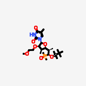 COCCO[C@@H]1[C@H](C)[C@@H]([C@H](C)[C@@H](O[Si](C)(C)C(C)(C)C)P(C)(C)=O)O[C@H]1n1cc(C)c(=O)[nH]c1=O